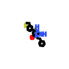 C[C@@]1(c2ccc3sccc3c2)CC(=O)N(CCc2ccccc2)C(=N)N1